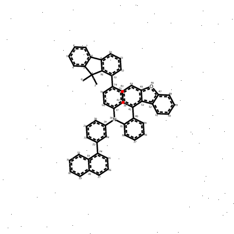 CC1(C)c2ccccc2-c2cccc(-c3ccc(N(c4cccc(-c5cccc6ccccc56)c4)c4ccccc4-c4cccc5oc6ccccc6c45)cc3)c21